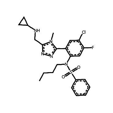 CCCCN(c1cc(F)c(Cl)cc1-c1nnc(CNC2CC2)n1C)S(=O)(=O)c1ccccc1